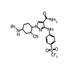 CC(C)NC1CCC(n2cc(C(N)=O)c(Nc3ccc(S(=O)(=O)C(F)(F)F)cc3)n2)C(C#N)C1